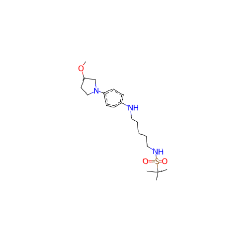 COC1CCN(c2ccc(NCCCCCNS(=O)(=O)C(C)(C)C)cc2)C1